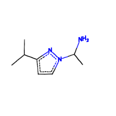 CC(C)c1ccn(C(C)N)n1